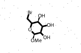 CO[C@H]1OC(CBr)[C@@H](O)C(O)C1O